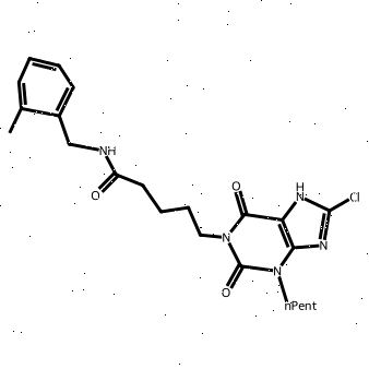 CCCCCn1c(=O)n(CCCCC(=O)NCc2ccccc2C)c(=O)c2[nH]c(Cl)nc21